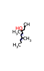 C#CCC(C)(O)/C=C/C(C)=C/CC